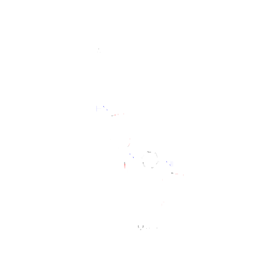 COCCOCCOC(=O)Nc1ccc(N2C(=O)CC(SCCC(=O)NCCCCCCC(C)=O)C2=O)cc1